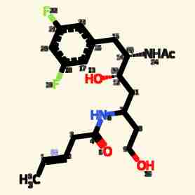 C/C=C/CC(=O)NC(CCO)C[C@H](O)[C@H](Cc1cc(F)cc(F)c1)NC(C)=O